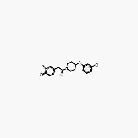 Cn1cc(CC(=O)N2CCC(Oc3cccc(Cl)c3)CC2)ccc1=O